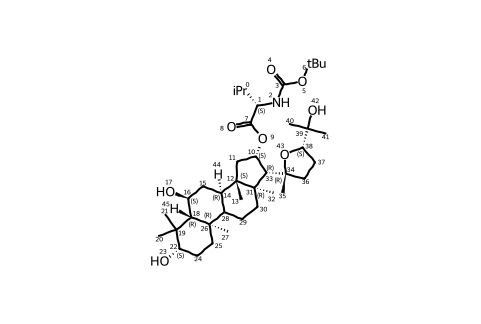 CC(C)[C@H](NC(=O)OC(C)(C)C)C(=O)O[C@H]1C[C@@]2(C)[C@@H]3C[C@H](O)[C@H]4C(C)(C)[C@@H](O)CC[C@]4(C)C3CC[C@]2(C)[C@H]1[C@@]1(C)CC[C@@H](C(C)(C)O)O1